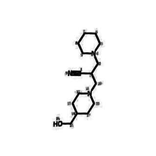 N#CC(CN1CCCCC1)CN1CCC(CO)CC1